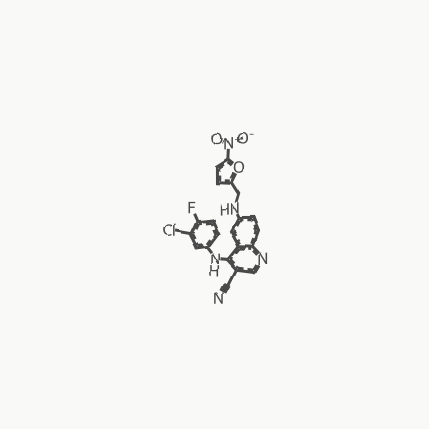 N#Cc1cnc2ccc(NCc3ccc([N+](=O)[O-])o3)cc2c1Nc1ccc(F)c(Cl)c1